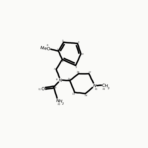 COc1ccccc1CN(C(N)=O)C1CCN(C)CC1